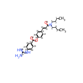 CCCCN(CCCC)C(=O)C=Cc1ccc(OC(=O)c2ccc(NC(=N)N)cc2)cc1